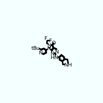 CC(C)(C)c1cc(-n2c3nc(Nc4ccc5c(c4)CNCC5)ncc3c(=O)n2CC(F)F)ccn1